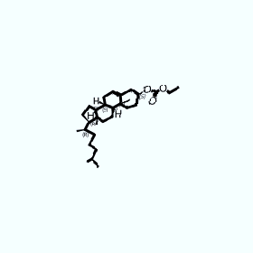 CCOC(=O)O[C@H]1CC[C@@]2(C)C(=CC[C@H]3[C@@H]4CC[C@H]([C@H](C)CCCC(C)C)[C@@]4(C)CC[C@@H]32)C1